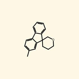 Cc1ccc2c(c1)C1(CCCOC1)c1ccccc1-2